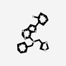 Fc1ccccc1-c1cc2ncnc(N(CC3=COCO3)Cc3ccccc3)c2s1